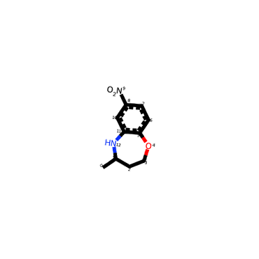 CC1CCOc2ccc([N+](=O)[O-])cc2N1